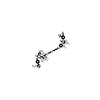 Cc1ncsc1-c1ccc(CNC(=O)[C@@H]2C[C@H](O)CN2C(=O)[C@@H](NC(=O)COCCCOCCCCCOc2ccc(N3C(=S)N(c4ccc(C#N)c(C(F)(F)F)c4)C(=O)C3(C)C)cc2)C(C)(C)C)cc1